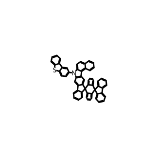 c1ccc2c(c1)-c1ccccc1C21c2ccccc2C2(c3ccccc3-c3cc4c(cc32)c2c3ccccc3ccc2n4-c2ccc3sc4ccccc4c3c2)c2ccccc21